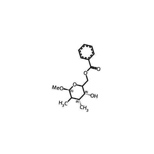 CO[C@H]1OC(COC(=O)c2ccccc2)[C@H](O)[C@H](C)C1C